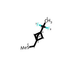 CSCC12CC(C(C)(F)F)(C1)C2